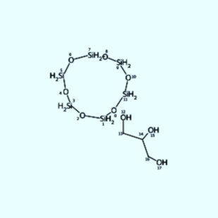 O1[SiH2]O[SiH2]O[SiH2]O[SiH2]O[SiH2]O[SiH2]1.OCC(O)CO